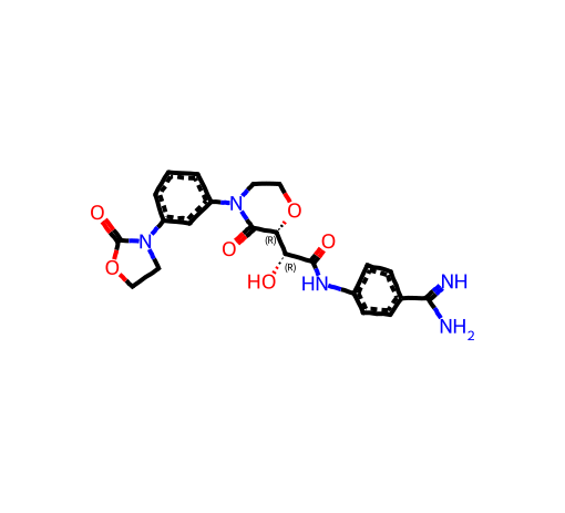 N=C(N)c1ccc(NC(=O)[C@H](O)[C@H]2OCCN(c3cccc(N4CCOC4=O)c3)C2=O)cc1